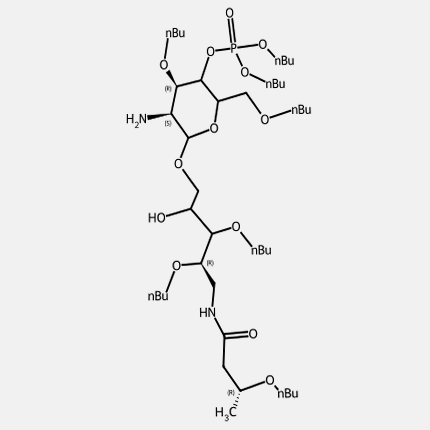 CCCCOCC1OC(OCC(O)C(OCCCC)[C@@H](CNC(=O)C[C@@H](C)OCCCC)OCCCC)[C@@H](N)[C@@H](OCCCC)C1OP(=O)(OCCCC)OCCCC